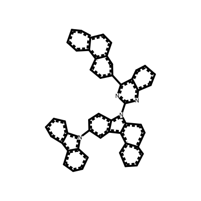 c1ccc2c(c1)ccc1cc(-c3nc(-n4c5ccc(-n6c7ccccc7c7ccccc76)cc5c5c6ccccc6ccc54)nc4ccccc34)ccc12